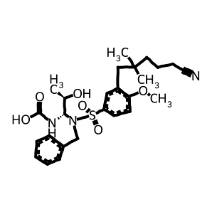 COc1ccc(S(=O)(=O)N(Cc2ccccc2)[C@H](NC(=O)O)[C@@H](C)O)cc1CC(C)(C)CCCC#N